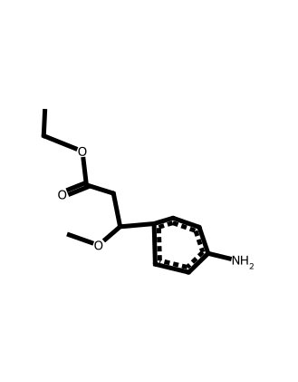 CCOC(=O)CC(OC)c1ccc(N)cc1